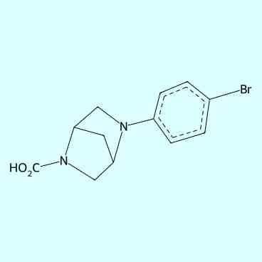 O=C(O)N1CC2CC1CN2c1ccc(Br)cc1